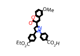 CCOC(=O)c1ccc(C2CC(c3cc4cc(OC)ccc4oc3=O)=NN2c2ccc(C(=O)O)cc2)cc1